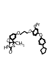 CCCc1cc(Oc2ccc(C3CCCC3)cc2)ccc1OCCCOc1cccc(C2(C)SC(=O)NC2=O)c1